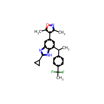 Cc1noc(C)c1-c1cc(C(C)c2ccc(C(C)(F)F)cc2)c2[nH]c(C3CC3)nc2c1